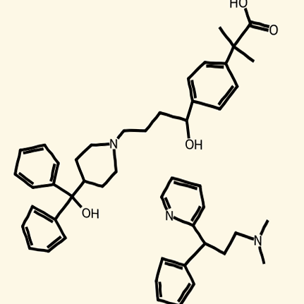 CC(C)(C(=O)O)c1ccc(C(O)CCCN2CCC(C(O)(c3ccccc3)c3ccccc3)CC2)cc1.CN(C)CCC(c1ccccc1)c1ccccn1